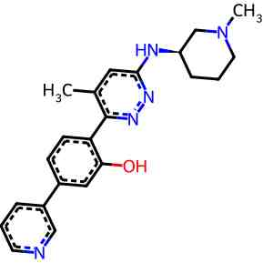 Cc1cc(N[C@@H]2CCCN(C)C2)nnc1-c1ccc(-c2cccnc2)cc1O